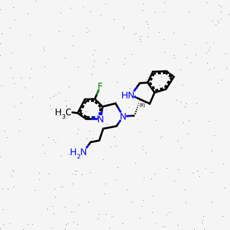 Cc1cnc(CN(CCCCN)C[C@H]2Cc3ccccc3CN2)c(F)c1